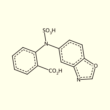 O=C(O)c1ccccc1N(c1ccc2ocnc2c1)S(=O)(=O)O